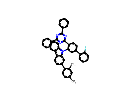 Fc1ccccc1-c1ccc(-c2nc(-c3ccccc3)nc(-c3ccccc3)n2)c(-n2c3ccccc3c3ccc(-c4ccc(C(F)(F)F)cc4C(F)(F)F)cc32)c1